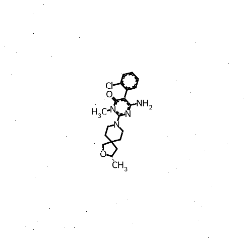 C[C@H]1CC2(CCN(c3nc(N)c(-c4ccccc4Cl)c(=O)n3C)CC2)CO1